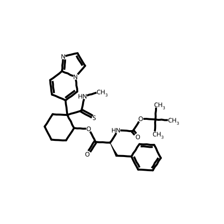 CNC(=S)C1(c2ccc3nccn3c2)CCCCC1OC(=O)[C@H](Cc1ccccc1)NC(=O)OC(C)(C)C